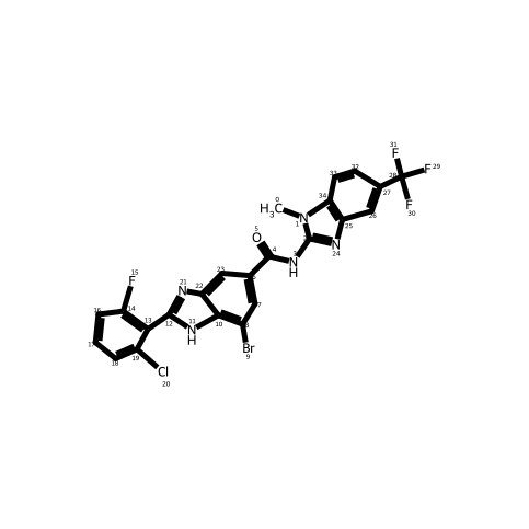 Cn1c(NC(=O)c2cc(Br)c3[nH]c(-c4c(F)cccc4Cl)nc3c2)nc2cc(C(F)(F)F)ccc21